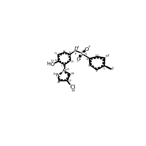 Cc1ccc(S(=O)(=O)Nc2ccc(O)c(-n3cc(Cl)cn3)c2)cc1